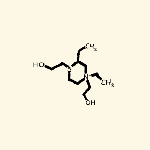 CCC1C[N+](CC)(CCO)CCN1CCO